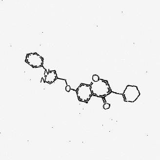 O=c1c(C2=CCCCC2)coc2cc(OCc3cnn(-c4ccccc4)c3)ccc12